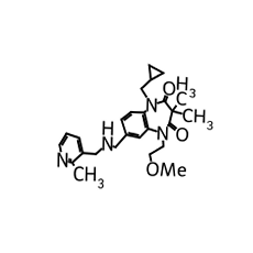 COCCN1C(=O)C(C)(C)C(=O)N(CC2CC2)c2ccc(CNCc3cccnc3C)cc21